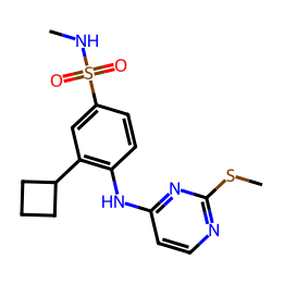 CNS(=O)(=O)c1ccc(Nc2ccnc(SC)n2)c(C2CCC2)c1